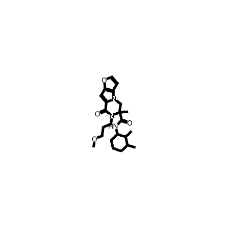 COCCCN1C(=O)c2cc3occc3n2CC1(C)C(=O)NC1CCCC(C)C1C